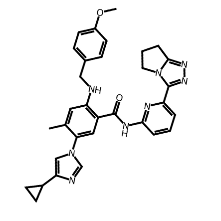 COc1ccc(CNc2cc(C)c(-n3cnc(C4CC4)c3)cc2C(=O)Nc2cccc(-c3nnc4n3CCC4)n2)cc1